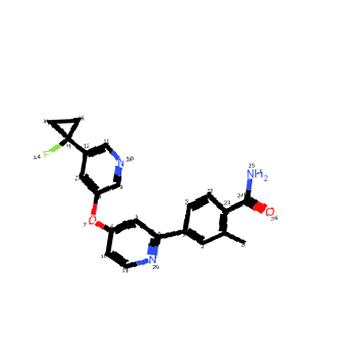 Cc1cc(-c2cc(Oc3cncc(C4(F)CC4)c3)ccn2)ccc1C(N)=O